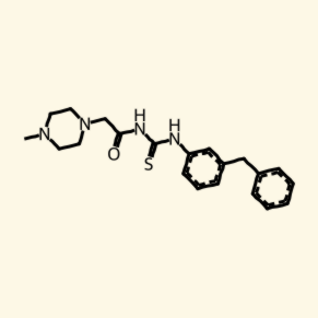 CN1CCN(CC(=O)NC(=S)Nc2cccc(Cc3ccccc3)c2)CC1